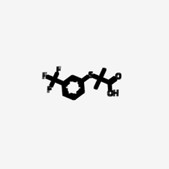 CC(C)(Sc1cccc(C(F)(F)F)c1)C(=O)O